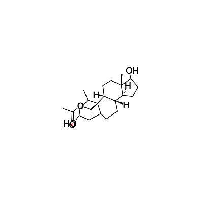 CC(=O)OC[C@]12C(C)CC(O)CC1CC[C@@H]1[C@H]2CC[C@]2(C)C(O)CC[C@@H]12